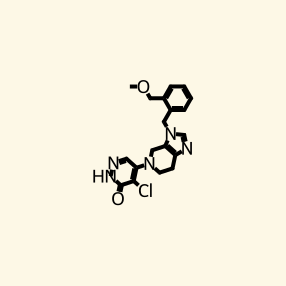 COCc1ccccc1Cn1cnc2c1CN(c1cn[nH]c(=O)c1Cl)CC2